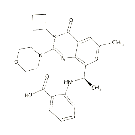 Cc1cc([C@@H](C)Nc2ccccc2C(=O)O)c2nc(N3CCOCC3)n(C3CCC3)c(=O)c2c1